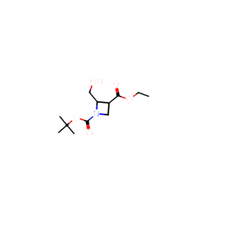 CCOC(=O)C1CN(C(=O)OC(C)(C)C)C1CO